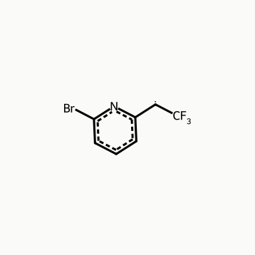 FC(F)(F)[CH]c1cccc(Br)n1